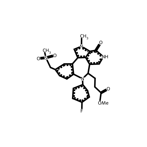 COC(=O)CCC1c2c[nH]c(=O)c3c2c(cn3C)-c2cc(CS(C)(=O)=O)ccc2N1c1ccc(F)cc1